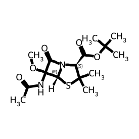 COC1(NC(C)=O)C(=O)N2[C@@H](C(=O)OC(C)(C)C)C(C)(C)S[C@@H]21